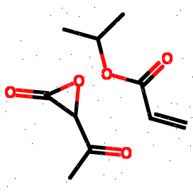 C=CC(=O)OC(C)C.CC(=O)C1OC1=O